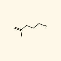 C=C(C)CCC[S]